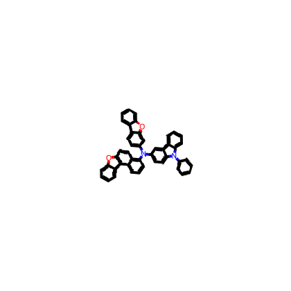 c1ccc(-n2c3ccccc3c3cc(N(c4ccc5c(c4)oc4ccccc45)c4cccc5c4ccc4oc6ccccc6c45)ccc32)cc1